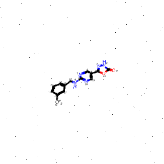 O=c1[nH]nc(-c2cnc(NCc3cccc(C(F)(F)F)c3)nc2)o1